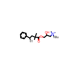 CCCC[N+](C)(C)CC(O)COC(=O)C(C)(C)CC(CC)c1ccccc1